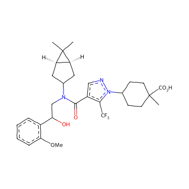 COc1ccccc1C(O)CN(C(=O)c1cnn(C2CCC(C)(C(=O)O)CC2)c1C(F)(F)F)C1C[C@@H]2[C@H](C1)C2(C)C